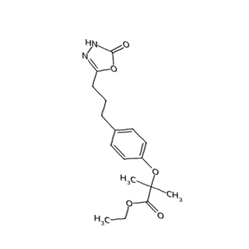 CCOC(=O)C(C)(C)Oc1ccc(CCCc2n[nH]c(=O)o2)cc1